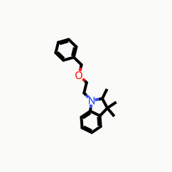 CC1N(CCOCc2ccccc2)c2ccccc2C1(C)C